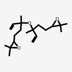 C=CC(C)(CCC1OC1(C)C)OC(C)(C=C)CCC1OC1(C)C